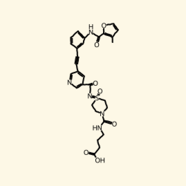 Cc1ccoc1C(=O)Nc1cccc(C#Cc2cncc(C(=O)N=S3(=O)CCN(C(=O)NCCCC(=O)O)CC3)c2)c1